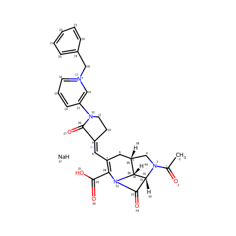 CC(=O)N1C[C@H]2CC(/C=C3\CCN(c4ccc[n+](Cc5ccccc5)c4)C3=O)=C(C(=O)O)N3C(=O)[C@@H]1[C@@H]23.[NaH]